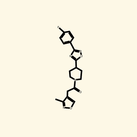 Cc1nocc1CC(=O)N1CCC(c2nc(-c3ccc(F)cc3)no2)CC1